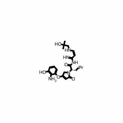 CC(C)C[C@@H](C(=O)NC(=N)/C=C\NCC(C)(C)O)N1CC(Oc2cccc(O)c2N)=CC1=O